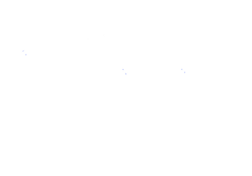 N=C/C=C\C1COc2ccc(-n3c4ccc(-c5ccc(O)c(-c6ccccc6)c5)cc4c4cc(-n5ccc6ccccc65)ccc43)cc21